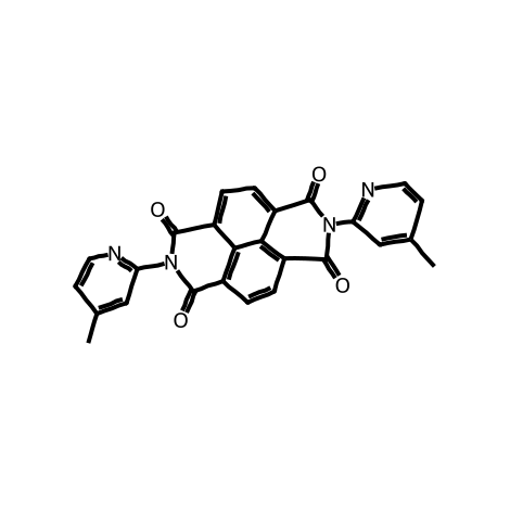 Cc1ccnc(N2C(=O)c3ccc4c5c(ccc(c35)C2=O)C(=O)N(c2cc(C)ccn2)C4=O)c1